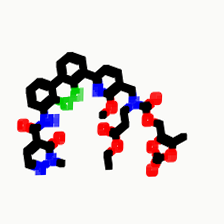 CCOC(=O)CCN(Cc1ccc(-c2cccc(-c3cccc(NC(=O)c4ccnn(C)c4=O)c3Cl)c2Cl)nc1OC)C(=O)OCc1oc(=O)oc1C